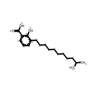 CC(C)CCCCCCCCCc1cccc(C(=O)O)c1O